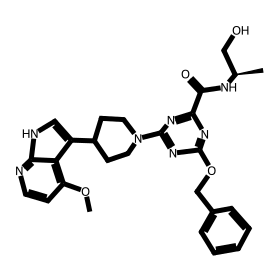 COc1ccnc2[nH]cc(C3CCN(c4nc(OCc5ccccc5)nc(C(=O)N[C@H](C)CO)n4)CC3)c12